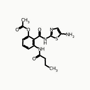 CCCC(=O)Nc1cccc(OC(C)=O)c1C(=O)Nc1ncc(N)s1